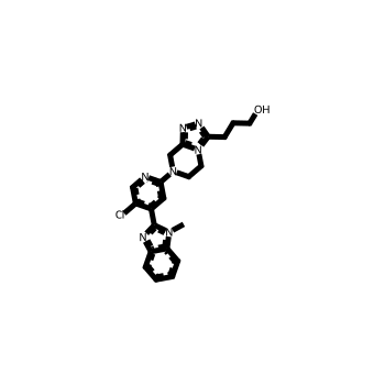 Cn1c(-c2cc(N3CCn4c(CCCO)nnc4C3)ncc2Cl)nc2ccccc21